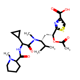 CC(=O)O[C@H](C[C@H](C(C)C)N(C)C(=O)C(NC(=O)C1CCCCN1C)C1CC1)c1nc(C(=O)O)cs1